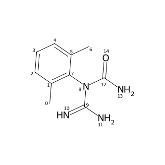 Cc1cccc(C)c1N(C(=N)N)C(N)=O